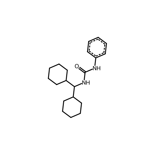 O=C(Nc1ccccc1)NC(C1CCCCC1)C1CCCCC1